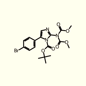 COC(=O)N(C(=O)OC)c1ncc(-c2ccc(Br)cc2)n1C(=O)OC(C)(C)C